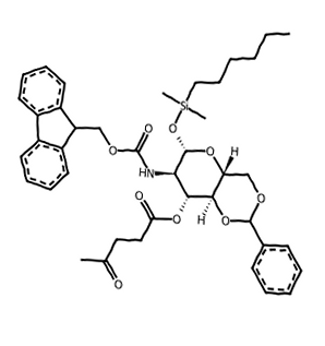 CCCCCC[Si](C)(C)O[C@@H]1O[C@@H]2COC(c3ccccc3)O[C@H]2[C@H](OC(=O)CCC(C)=O)[C@H]1NC(=O)OCC1c2ccccc2-c2ccccc21